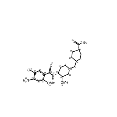 CCCCC(=S)N1CCC(CN2CC[C@@H](NC(=O)c3cc(Cl)c(N)cc3OC)[C@@H](OC)C2)CC1